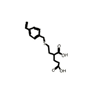 C=Cc1ccc(CSCCC(CCC(=O)O)C(=O)O)cc1